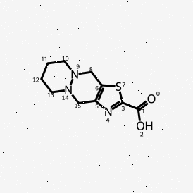 O=C(O)c1nc2c(s1)CN1CCCCN1C2